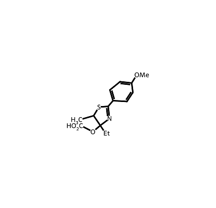 CCC1(OC(=O)O)N=C(c2ccc(OC)cc2)SC1C